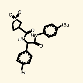 CC(C)c1ccc(C(NC(=O)C2CCS(=O)(=O)C2)C(=O)Nc2ccc(C(C)(C)C)cc2)cc1